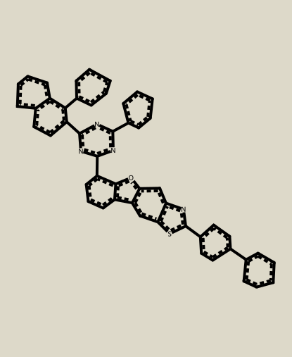 c1ccc(-c2ccc(-c3nc4cc5oc6c(-c7nc(-c8ccccc8)nc(-c8ccc9ccccc9c8-c8ccccc8)n7)cccc6c5cc4s3)cc2)cc1